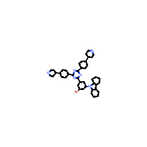 Brc1cc(-c2nc(-c3ccc(-c4ccncc4)cc3)nc(-c3ccc(-c4ccncc4)cc3)n2)cc(-n2c3ccccc3c3ccccc32)c1